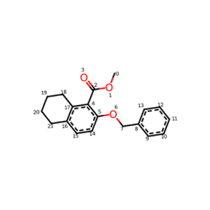 COC(=O)c1c(OCc2ccccc2)ccc2c1CCCC2